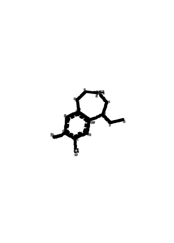 CCC1CNCCc2cc(C)c(Cl)cc21